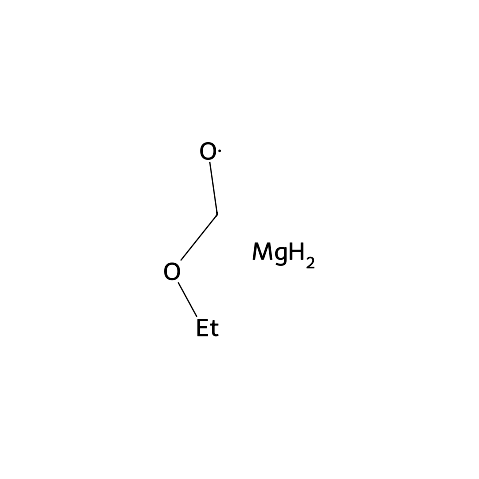 CCOC[O].[MgH2]